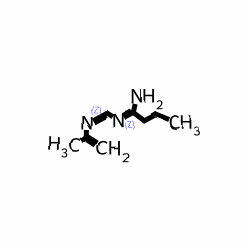 C=C(C)/N=C\N=C(/N)CCC